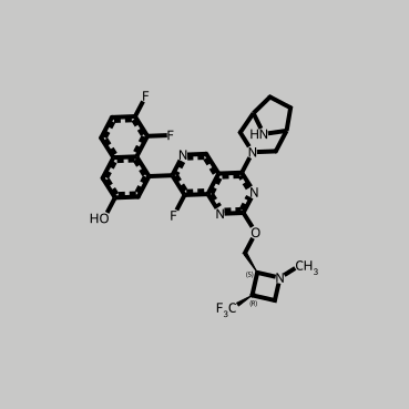 CN1C[C@@H](C(F)(F)F)[C@H]1COc1nc(N2CC3CCC(C2)N3)c2cnc(-c3cc(O)cc4ccc(F)c(F)c34)c(F)c2n1